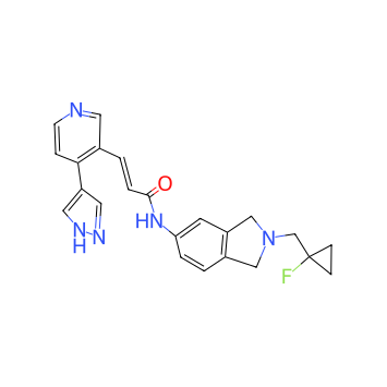 O=C(/C=C/c1cnccc1-c1cn[nH]c1)Nc1ccc2c(c1)CN(CC1(F)CC1)C2